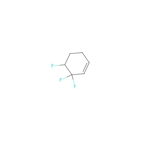 FC1CCC=CC1(F)F